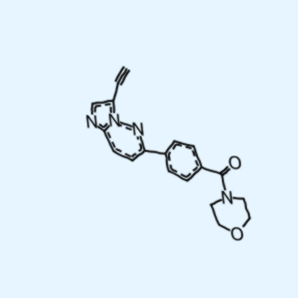 C#Cc1cnc2ccc(-c3ccc(C(=O)N4CCOCC4)cc3)nn12